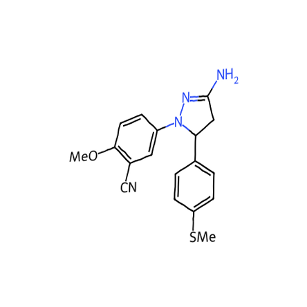 COc1ccc(N2N=C(N)CC2c2ccc(SC)cc2)cc1C#N